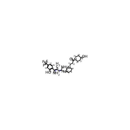 CC(/C=C(\N)NC1CCCN(CCC(=O)N2CCC(O)CC2)C1)=C(/N)c1ccc(C(F)(F)F)cc1O